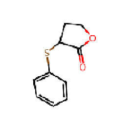 O=C1OCCC1Sc1ccccc1